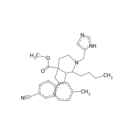 CCCCC1C(Cc2ccc(C#N)cc2)C(Cc2cccc(C)c2)(C(=O)OC)CCN1Cc1cnc[nH]1